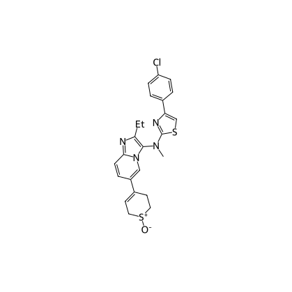 CCc1nc2ccc(C3=CC[S+]([O-])CC3)cn2c1N(C)c1nc(-c2ccc(Cl)cc2)cs1